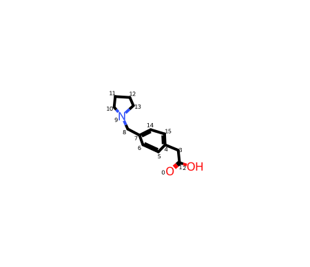 O=C(O)Cc1ccc(CN2CCCC2)cc1